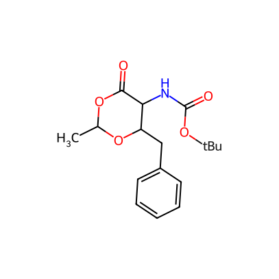 CC1OC(=O)C(NC(=O)OC(C)(C)C)C(Cc2ccccc2)O1